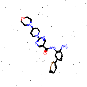 Nc1ccc(-c2cccs2)cc1NC(=O)c1cnc(N2CCC(N3CCOCC3)CC2)nc1